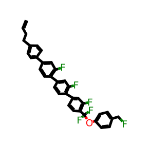 C=CCCc1ccc(-c2ccc(-c3ccc(-c4ccc(C(F)(F)Oc5ccc(CF)cc5)c(F)c4)c(F)c3)c(F)c2)cc1